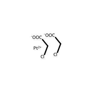 O=C([O-])CCl.O=C([O-])CCl.[Pt+2]